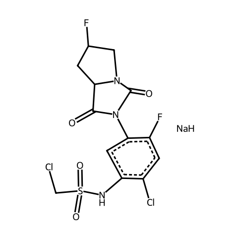 O=C1C2CC(F)CN2C(=O)N1c1cc(NS(=O)(=O)CCl)c(Cl)cc1F.[NaH]